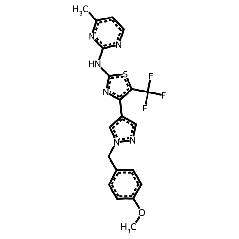 COc1ccc(Cn2cc(-c3nc(Nc4nccc(C)n4)sc3C(F)(F)F)cn2)cc1